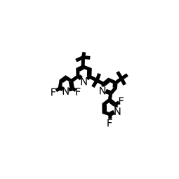 CC(C)(C)c1cc(-c2ccc(F)nc2F)nc(C(C)(C)c2cc(C(C)(C)C)cc(-c3ccc(F)nc3F)n2)c1